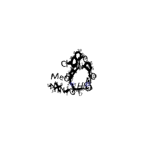 CO[C@H]1/C=C/[C@H](OCCN2CC3(CN(C)C3)C2)[C@H](C)C/[SH](=O)=N\C(=O)c2ccc3c(c2)N(C[C@@H]2CC[C@H]21)C[C@@]1(CCCc2cc(Cl)ccc21)CO3